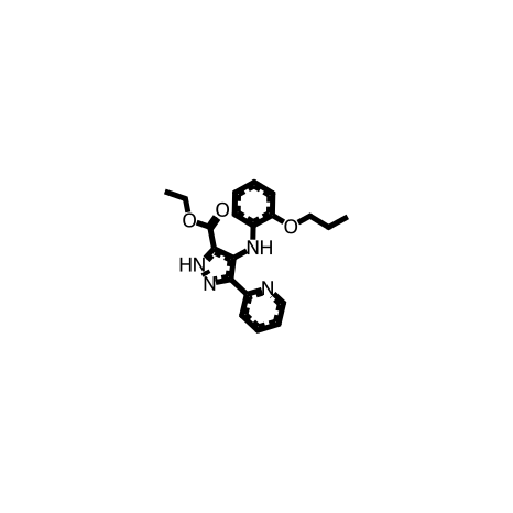 CCCOc1ccccc1Nc1c(-c2ccccn2)n[nH]c1C(=O)OCC